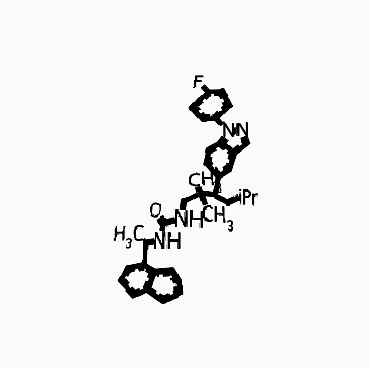 CC(C)CC(c1ccc2c(cnn2-c2ccc(F)cc2)c1)C(C)(C)CNC(=O)N[C@H](C)c1cccc2ccccc12